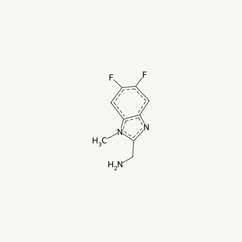 Cn1c(CN)nc2cc(F)c(F)cc21